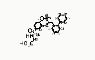 CC1(C)Oc2ccc(S(=O)(=O)NCC(=O)O)cc2CC1Cc1ccccc1-c1ccccc1